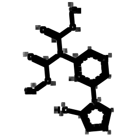 Cc1cncn1-c1cncc(N(C(=O)OC(C)(C)C)C(=O)OC(C)(C)C)n1